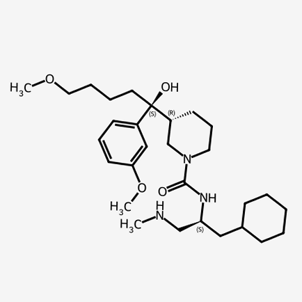 CNC[C@H](CC1CCCCC1)NC(=O)N1CCC[C@@H]([C@@](O)(CCCCOC)c2cccc(OC)c2)C1